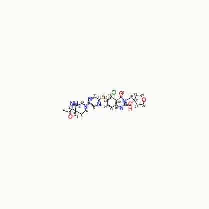 C[C@@H]1OCC2(CCN(c3cnc(Sc4ccc5ncn(CC6(O)CCOCC6)c(=O)c5c4Cl)cn3)CC2)[C@@H]1N